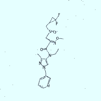 CCN(C(=O)C(C[S+]([O-])CC1CC1(F)F)=NOC)c1cn(-c2cccnc2)nc1C